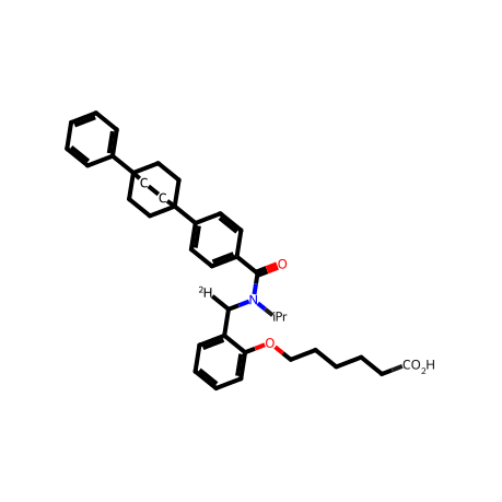 [2H]C(c1ccccc1OCCCCCC(=O)O)N(C(=O)c1ccc(C23CCC(c4ccccc4)(CC2)CC3)cc1)C(C)C